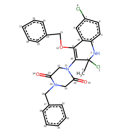 CC1(Cl)Nc2ccc(Cl)cc2C(OCc2ccccc2)=C1N1CC(=O)N(Cc2ccccc2)CC1=O